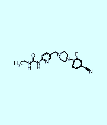 CCNC(=O)Nc1ccc(CN2CCN(c3ccc(C#N)cc3F)CC2)cn1